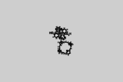 C1=Cc2cc3ccc(cc4nc(cc5ccc(cc1n2)[nH]5)C=C4)[nH]3.O=C(O)c1cccc[c]1[Mn]([c]1ccccc1C(=O)O)([c]1ccccc1C(=O)O)[c]1ccccc1C(=O)O